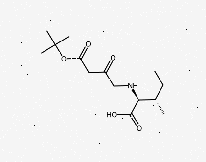 CC[C@H](C)[C@H](NCC(=O)CC(=O)OC(C)(C)C)C(=O)O